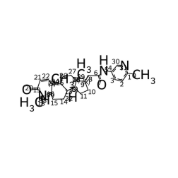 Cc1ccc(NC(=O)C[C@H]2CC[C@H]3C4CC[C@H]5N(C)C(=O)C=C[C@]5(C)C4CC[C@]23C)cn1